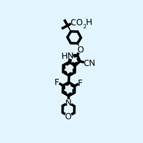 CC(C)(C(=O)O)[C@H]1CC[C@H](Oc2[nH]c3ccc(-c4c(F)cc(N5CCOCC5)cc4F)cc3c2C#N)CC1